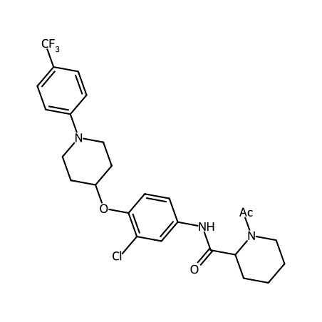 CC(=O)N1CCCCC1C(=O)Nc1ccc(OC2CCN(c3ccc(C(F)(F)F)cc3)CC2)c(Cl)c1